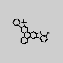 CC1(C)c2ccccc2-c2cc3c4ccccc4c4cc5c(cc4c3cc21)sc1c(Br)cccc15